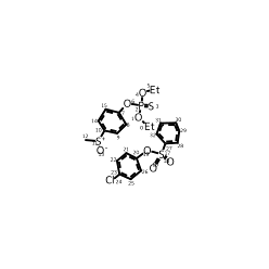 CCOP(=S)(OCC)Oc1ccc([S+](C)[O-])cc1.O=S(=O)(Oc1ccc(Cl)cc1)c1ccccc1